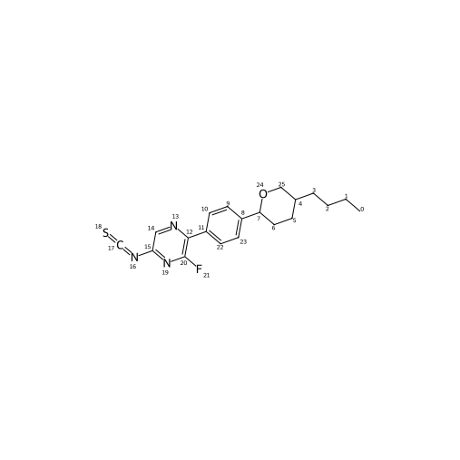 CCCCC1CCC(c2ccc(-c3ncc(N=C=S)nc3F)cc2)OC1